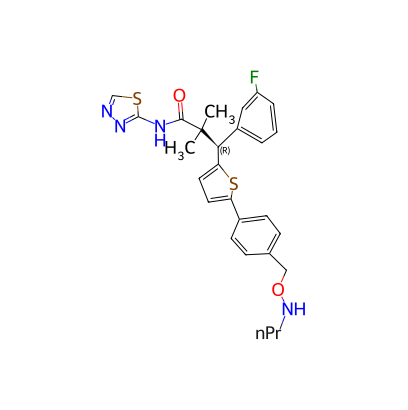 CCCNOCc1ccc(-c2ccc([C@H](c3cccc(F)c3)C(C)(C)C(=O)Nc3nncs3)s2)cc1